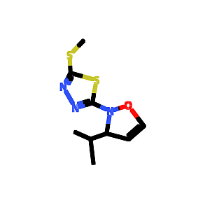 CSc1nnc(N2OC=CC2C(C)C)s1